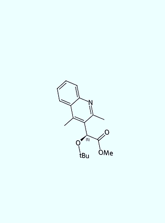 COC(=O)[C@@H](OC(C)(C)C)c1c(C)nc2ccccc2c1C